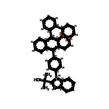 BC(B)(O)c1nc2ccccc2n1-c1ccc(-c2c3ccccc3c(-c3ccccc3-c3ccccc3)c3ccccc23)cc1